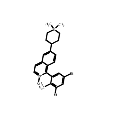 CCc1cc(CC)c(C)c(-c2c3ccc(C4CC[Si](C)(C)CC4)cc3cc[n+]2C)c1